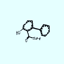 O=C(S)c1c(O)cccc1-c1ccccc1